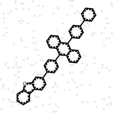 c1ccc(-c2ccc(-c3c4ccccc4c(-c4ccc(-c5ccc6c(c5)oc5ccccc56)cc4)c4ccccc34)cc2)cc1